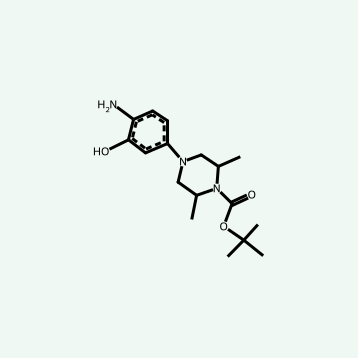 CC1CN(c2ccc(N)c(O)c2)CC(C)N1C(=O)OC(C)(C)C